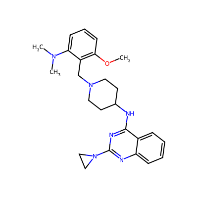 COc1cccc(N(C)C)c1CN1CCC(Nc2nc(N3CC3)nc3ccccc23)CC1